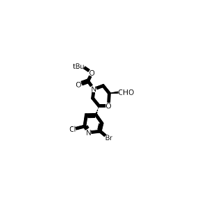 CC(C)(C)OC(=O)N1C[C@@H](C=O)O[C@H](c2cc(Cl)nc(Br)c2)C1